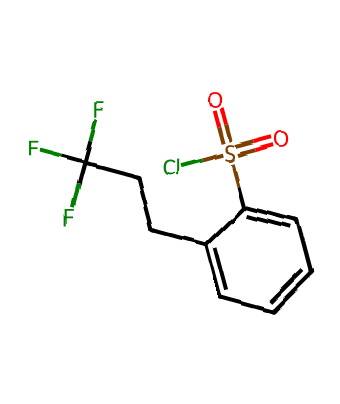 O=S(=O)(Cl)c1ccccc1CCC(F)(F)F